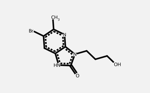 Cc1nc2c(cc1Br)[nH]c(=O)n2CCCO